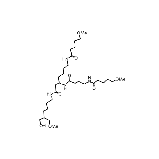 COCCCCC(=O)NCCCCC(CC(=O)NCCCCC(CO)COC)NC(=O)CCCNC(=O)CCCCOC